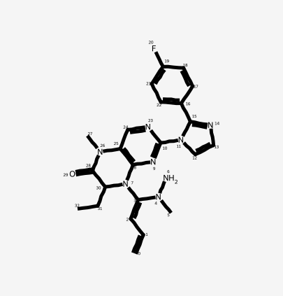 C=C/C=C(\N(C)N)N1c2nc(-n3ccnc3-c3ccc(F)cc3)ncc2N(C)C(=O)C1CC